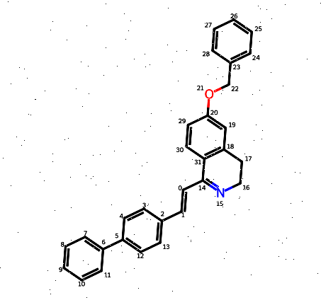 C(=Cc1ccc(-c2ccccc2)cc1)C1=NCCc2cc(OCc3ccccc3)ccc21